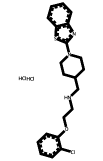 Cl.Cl.Clc1ccccc1OCCNCC1CCN(c2nc3ccccc3s2)CC1